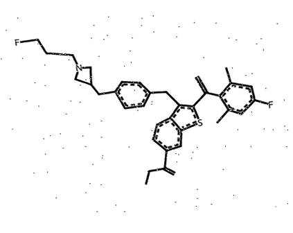 C=C(CC)c1ccc2c(Cc3ccc(CC4CN(CCCF)C4)cc3)c(C(=C)c3c(C)cc(F)cc3C)sc2c1